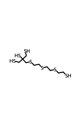 SCCSCCSCCSCC(S)(CS)CS